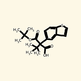 CC(C)(C)OC(=O)C(C(=O)O)(c1ccc2sccc2c1)C(C)(C)C